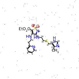 CCOC(=O)C1=C(NCCc2ccccn2)C(NCCSCc2[nH]cnc2C)=NS1(=O)=O